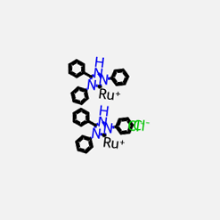 [Cl-].[Cl-].[Ru+]=[C]1N(c2ccccc2)NC(c2ccccc2)N1c1ccccc1.[Ru+]=[C]1N(c2ccccc2)NC(c2ccccc2)N1c1ccccc1